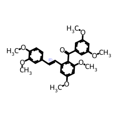 COc1cc(OC)cc(C(=O)c2c(/C=C/c3ccc(OC)c(OC)c3)cc(OC)cc2OC)c1